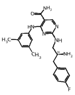 Cc1cc(C)cc(Nc2nc(NC[C@@H](N)Cc3ccc(F)cc3)ncc2C(N)=O)c1